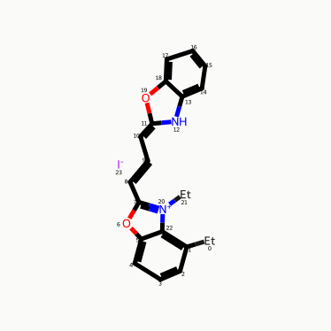 CCc1cccc2oc(C=CC=C3Nc4ccccc4O3)[n+](CC)c12.[I-]